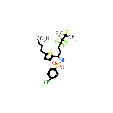 O=C(O)CCCc1ccc(C(CCC(F)(F)C(F)(F)C(F)(C(F)(F)F)C(F)(F)F)NS(=O)(=O)c2ccc(Cl)cc2)s1